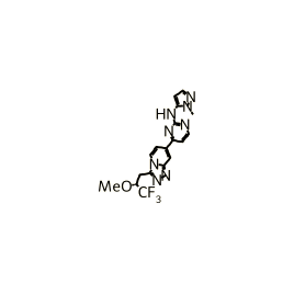 CO[C@@H](Cc1nnc2cc(-c3ccnc(Nc4ccnn4C)n3)ccn12)C(F)(F)F